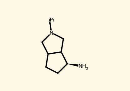 CC(C)N1CC2CC[C@H](N)C2C1